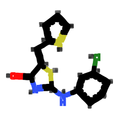 O=C1N=C(Nc2cccc(Cl)c2)S/C1=C\c1cccs1